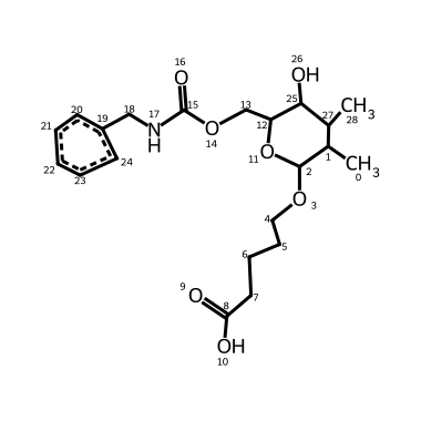 CC1C(OCCCCC(=O)O)OC(COC(=O)NCc2ccccc2)C(O)C1C